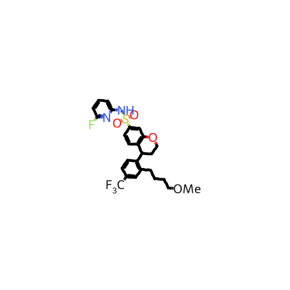 COCCCCc1cc(C(F)(F)F)ccc1C1CCOc2cc(S(=O)(=O)Nc3cccc(F)n3)ccc21